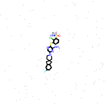 CS(=N)(=O)c1cccc(Sc2ncc(N3CCC4(CC3)Cc3ccc(F)cc3C4)nc2N)c1Cl